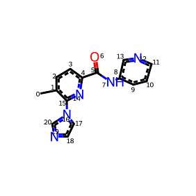 Cc1ccc(C(=O)Nc2cccnc2)nc1-n1ccnc1